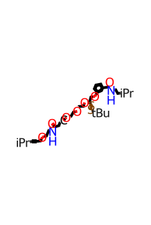 CC(C)C#CCOCCNC(=O)CCCOCCOCCOC(COc1cccc(C(=O)NCCC(C)C)c1)SSC(C)(C)C